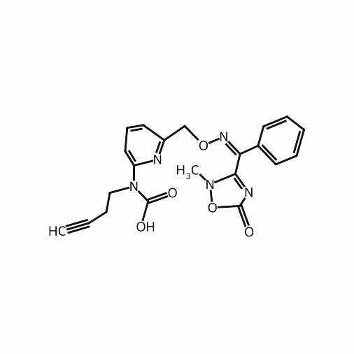 C#CCCN(C(=O)O)c1cccc(CON=C(c2ccccc2)c2nc(=O)on2C)n1